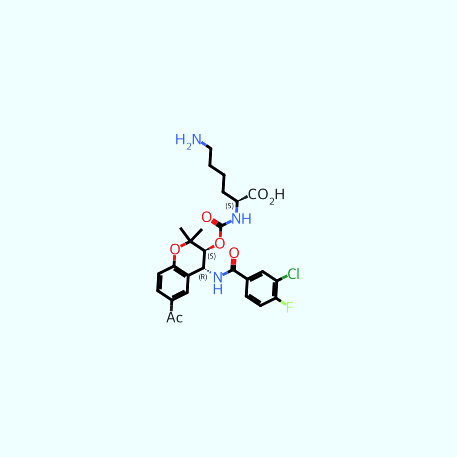 CC(=O)c1ccc2c(c1)[C@@H](NC(=O)c1ccc(F)c(Cl)c1)[C@H](OC(=O)N[C@@H](CCCCN)C(=O)O)C(C)(C)O2